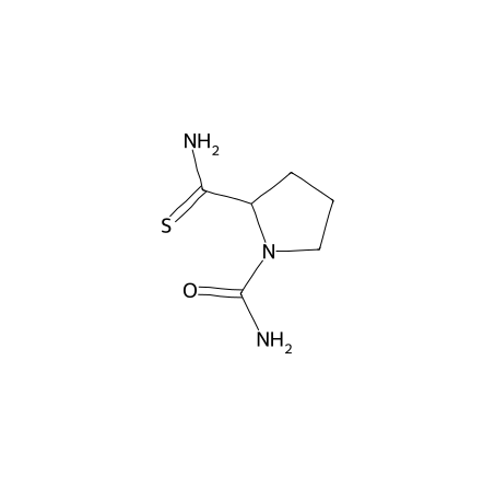 NC(=O)N1CCCC1C(N)=S